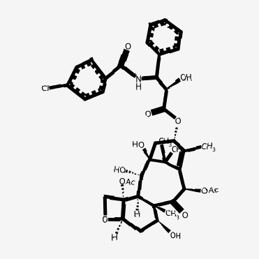 CC(=O)O[C@H]1C(=O)[C@@]2(C)[C@H]([C@H](O)[C@]3(O)C[C@H](OC(=O)[C@H](O)C(NC(=O)c4ccc(Cl)cc4)c4ccccc4)C(C)=C1C3(C)C)[C@]1(OC(C)=O)CO[C@@H]1C[C@@H]2O